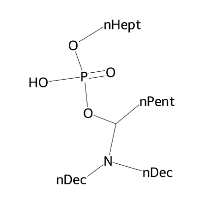 CCCCCCCCCCN(CCCCCCCCCC)C(CCCCC)OP(=O)(O)OCCCCCCC